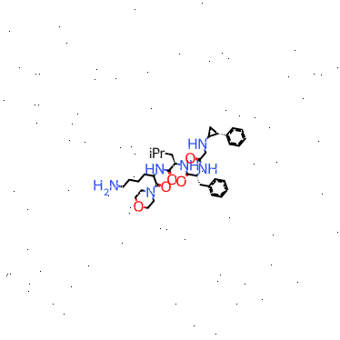 CC(C)C[C@@H](NC(=O)[C@@H](Cc1ccccc1)NC(=O)CNC1C[C@@H]1c1ccccc1)C(=O)NC(CCCCN)C(=O)N1CCOCC1